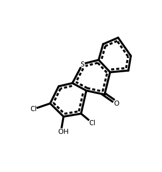 O=c1c2ccccc2sc2cc(Cl)c(O)c(Cl)c12